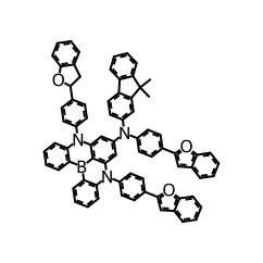 CC1(C)c2ccccc2-c2ccc(N(c3ccc(-c4cc5ccccc5o4)cc3)c3cc4c5c(c3)N(c3ccc(C6Cc7ccccc7O6)cc3)c3ccccc3B5c3ccccc3N4c3ccc(-c4cc5ccccc5o4)cc3)cc21